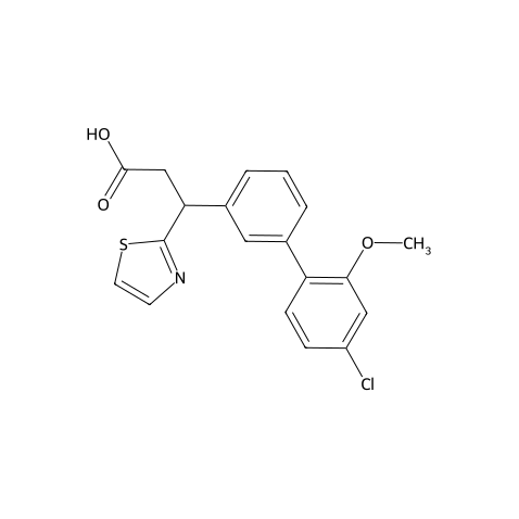 COc1cc(Cl)ccc1-c1cccc(C(CC(=O)O)c2nccs2)c1